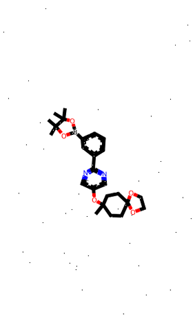 CC1(Oc2cnc(-c3cccc(B4OC(C)(C)C(C)(C)O4)c3)nc2)CCC2(CC1)OCCO2